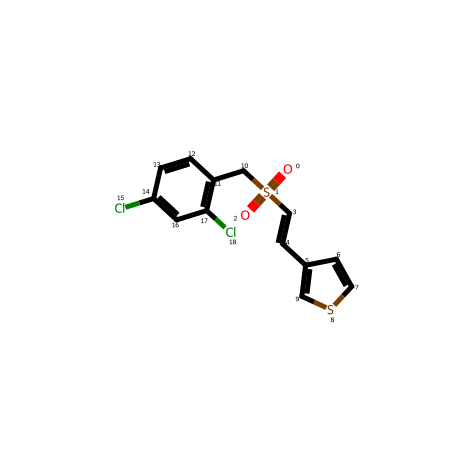 O=S(=O)(C=Cc1ccsc1)Cc1ccc(Cl)cc1Cl